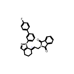 O=C1c2ccccc2C(=O)N1C/C=C1\CCCc2cnn(-c3cccc(-c4ccc(F)cc4)c3)c21